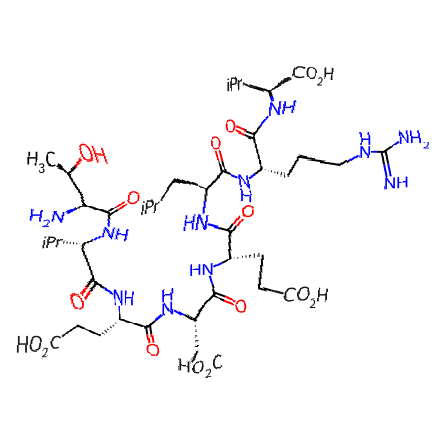 CC(C)C[C@H](NC(=O)[C@H](CCC(=O)O)NC(=O)[C@H](CC(=O)O)NC(=O)[C@H](CCC(=O)O)NC(=O)[C@@H](NC(=O)[C@@H](N)[C@@H](C)O)C(C)C)C(=O)N[C@@H](CCCNC(=N)N)C(=O)N[C@H](C(=O)O)C(C)C